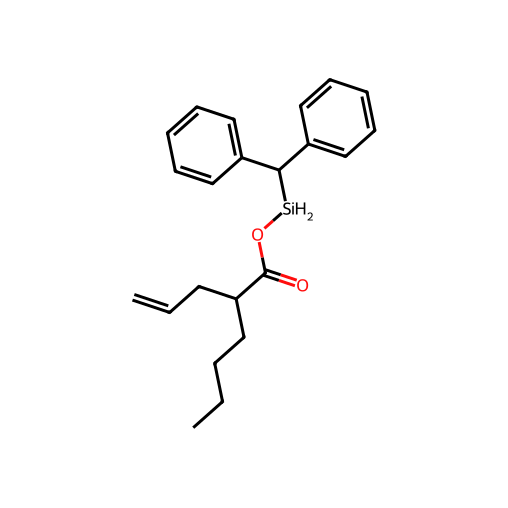 C=CCC(CCCC)C(=O)O[SiH2]C(c1ccccc1)c1ccccc1